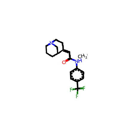 O=C(C=C1CCN2CCCC1C2)Nc1ccc(C(F)(F)F)cc1.[CH2]